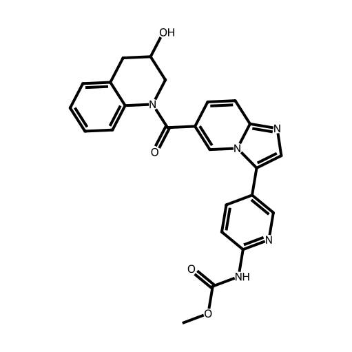 COC(=O)Nc1ccc(-c2cnc3ccc(C(=O)N4CC(O)Cc5ccccc54)cn23)cn1